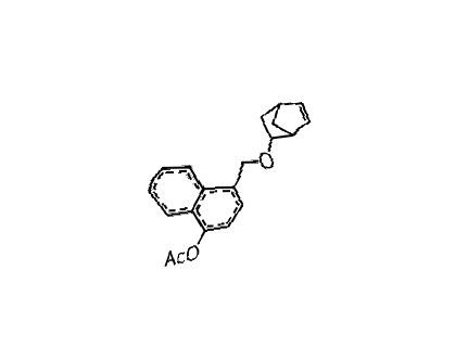 CC(=O)Oc1ccc(COC2CC3C=CC2C3)c2ccccc12